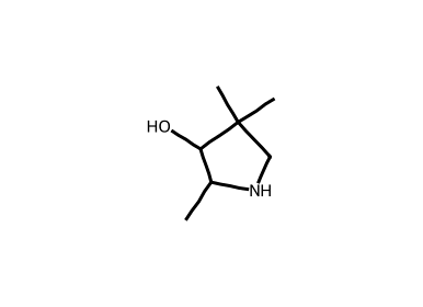 CC1NCC(C)(C)C1O